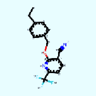 CCc1ccc(COc2nc(C(F)(F)F)ccc2C#N)cc1